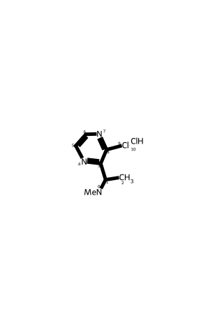 CNC(C)c1nccnc1Cl.Cl